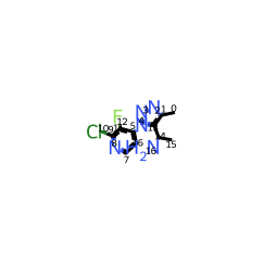 Cc1nnn(-c2ccnc(Cl)c2F)c1C(C)N